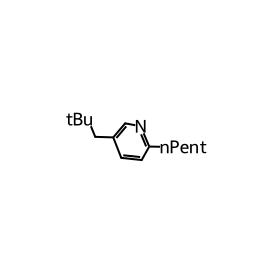 CCCCCc1ccc(CC(C)(C)C)cn1